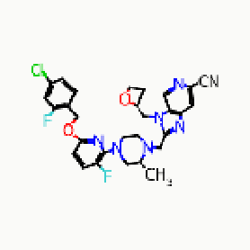 C[C@H]1CN(c2nc(OCc3ccc(Cl)cc3F)ccc2F)CCN1Cc1nc2cc(C#N)ncc2n1C[C@@H]1CCO1